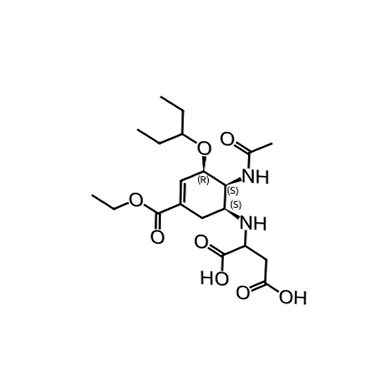 CCOC(=O)C1=C[C@@H](OC(CC)CC)[C@@H](NC(C)=O)[C@@H](NC(CC(=O)O)C(=O)O)C1